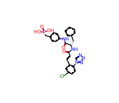 O=C(/C=C/c1cc(Cl)ccc1-n1cnnn1)N[C@@H](Cc1ccccc1)C(=O)Nc1ccc(CP(=O)(O)O)cc1